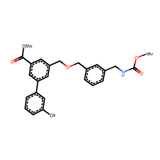 COC(=O)c1cc(COCc2cccc(CNC(=O)OC(C)(C)C)c2)cc(-c2cccc(C#N)c2)c1